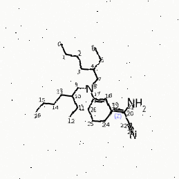 CCCCC(CC)CN(CC(CC)CCCC)C1=C/C(=C(\N)C#N)CCC1